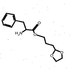 NC(Cc1ccccc1)C(=O)OCCCC1OCCO1